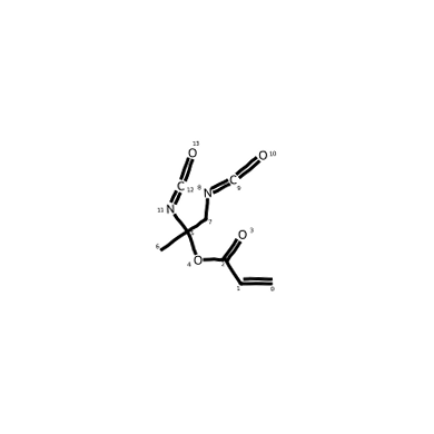 C=CC(=O)OC(C)(CN=C=O)N=C=O